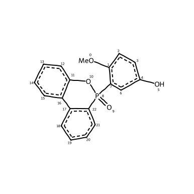 COc1ccc(O)cc1P1(=O)Oc2ccccc2-c2ccccc21